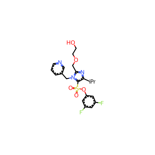 CC(C)c1nc(COCCO)n(Cc2cccnc2)c1S(=O)(=O)Oc1cc(F)cc(F)c1